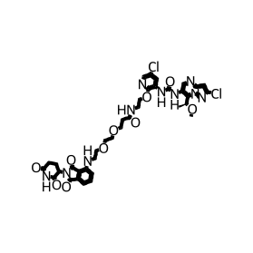 CO[C@@H](C)c1c(NC(=O)Nc2cc(Cl)cnc2OCCNC(=O)CCOCCOCCNc2cccc3c2C(=O)N(C2CCC(=O)NC2=O)C3=O)cnc2cc(Cl)nn12